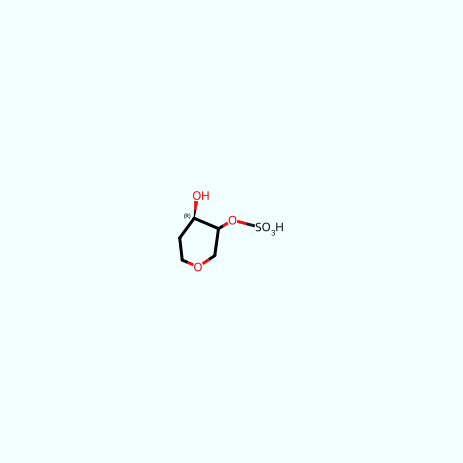 O=S(=O)(O)OC1COCC[C@H]1O